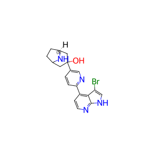 OC1(c2ccc(-c3ccnc4[nH]cc(Br)c34)nc2)CC2CC[C@@H](C1)N2